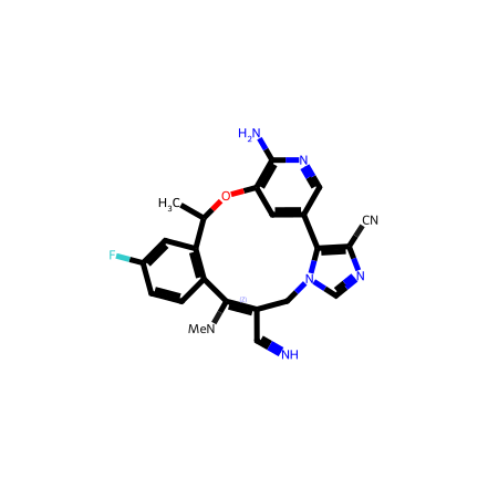 CN/C1=C(\C=N)Cn2cnc(C#N)c2-c2cnc(N)c(c2)OC(C)c2cc(F)ccc21